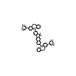 CC1(C)c2cc(N3c4ccccc4CCc4cc(-c5cncnc5)ccc43)ccc2-c2cc3ccc(N4c5ccccc5CCc5cc(-c6cncnc6)ccc54)cc3cc21